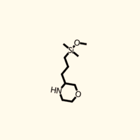 CO[Si](C)(C)CCCC1COCCN1